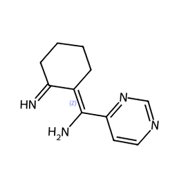 N=C1CCCC/C1=C(/N)c1ccncn1